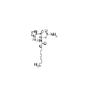 CCCCCCOC(=O)N[C@H](CC(N)=O)C(=O)c1ncc[nH]1